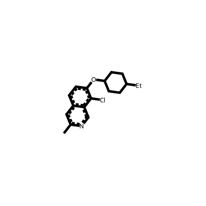 CCC1CCC(Oc2ccc3cc(C)ncc3c2Cl)CC1